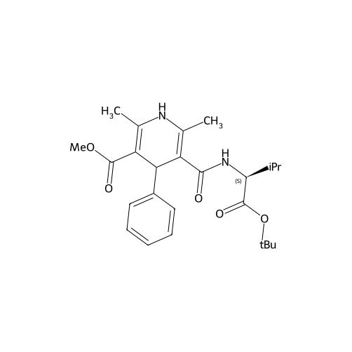 COC(=O)C1=C(C)NC(C)=C(C(=O)N[C@H](C(=O)OC(C)(C)C)C(C)C)C1c1ccccc1